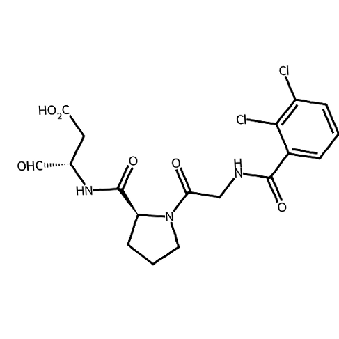 O=C[C@H](CC(=O)O)NC(=O)[C@@H]1CCCN1C(=O)CNC(=O)c1cccc(Cl)c1Cl